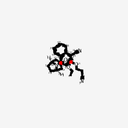 CCOP(=O)(OCCC#N)O[C@H]1C[C@H]2CC[C@@H](C1)N2c1ccc(C#N)c2ccccc12